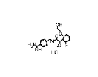 COC(C(=O)NCc1ccc(C(=N)N)cc1)c1c(F)cccc1OCCO.Cl